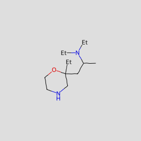 CCN(CC)C(C)CC1(CC)CNCCO1